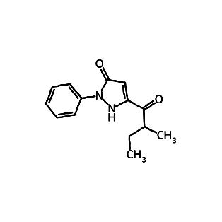 CCC(C)C(=O)c1cc(=O)n(-c2ccccc2)[nH]1